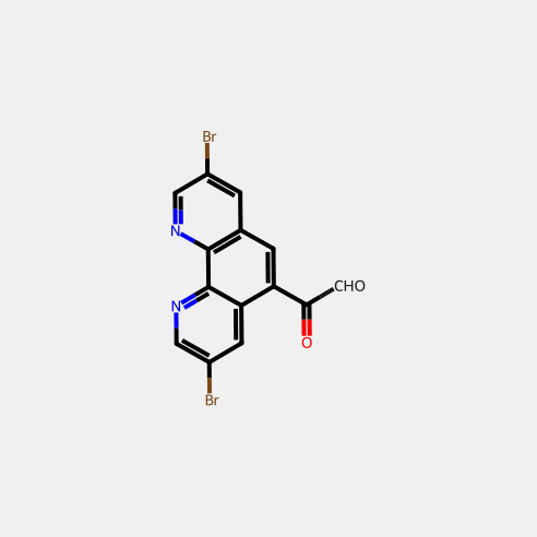 O=CC(=O)c1cc2cc(Br)cnc2c2ncc(Br)cc12